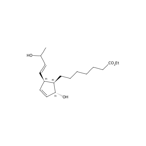 CCOC(=O)CCCCCC[C@@H]1[C@H](C=CC(C)O)C=C[C@H]1O